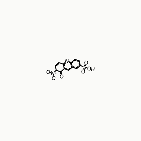 O=C1c2cc3cc(S(=O)(=O)O)ccc3nc2C=CC1[N+](=O)[O-]